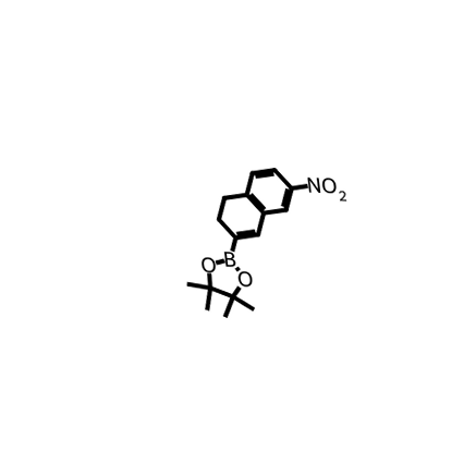 CC1(C)OB(C2=Cc3cc([N+](=O)[O-])ccc3CC2)OC1(C)C